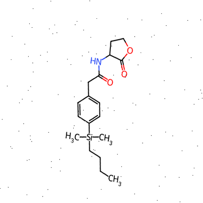 CCCC[Si](C)(C)c1ccc(CC(=O)NC2CCOC2=O)cc1